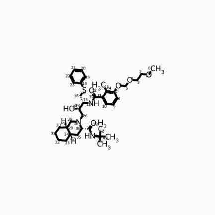 COCCOCOc1cccc(C(=O)N[C@@H](CSc2ccccc2)[C@H](O)CN2C[C@H]3CCCC[C@H]3C[C@H]2C(=O)NC(C)(C)C)c1C